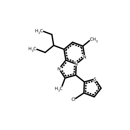 CCC(CC)c1cc(C)nn2c(-c3sccc3Cl)c(C)nc12